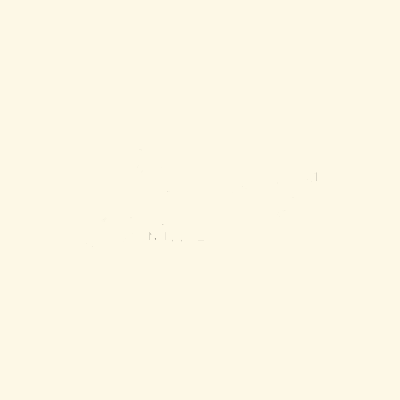 O=C(O)C1(Nc2cccc(Cl)c2)CCC2(CC1)c1ccccc1CC2CCCOc1cc(F)cc(Cl)c1